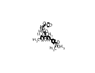 CCN(C)C(=O)c1ccc(-c2ccc3c(n2)Oc2nc(C)ccc2[C@H]3C(C)(C)C(=O)Nc2nnc(C(=O)N3CCOCC3)s2)cc1